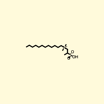 CCCCCCCCCCCC[N+](C)(C)CC(C)S(=O)(=O)O